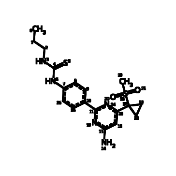 CCCNC(=S)Nc1ccc(-c2nc(N)cc(C3(S(C)(=O)=O)CC3)n2)cc1